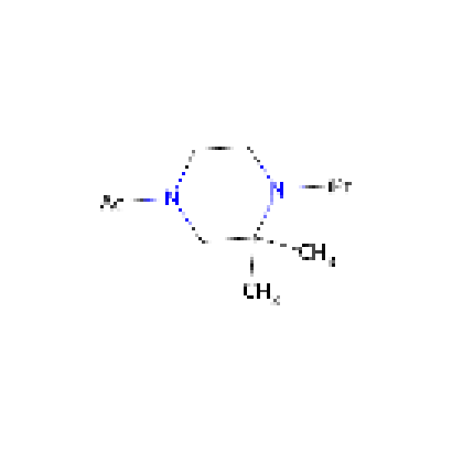 CC(=O)N1CCN(C(C)C)C(C)(C)C1